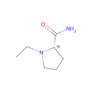 CCN1CCC[C@H]1C(N)=O